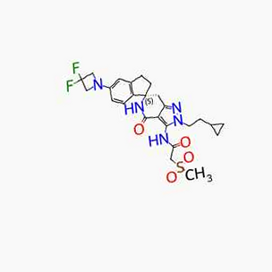 CS(=O)(=O)CC(=O)Nc1c2c(nn1CCC1CC1)C[C@]1(CCc3cc(N4CC(F)(F)C4)ccc31)NC2=O